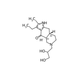 CCc1c(C)[nH]c2c1C(=O)[C@@H]1CN(CC(O)CO)CC[C@H]1C2